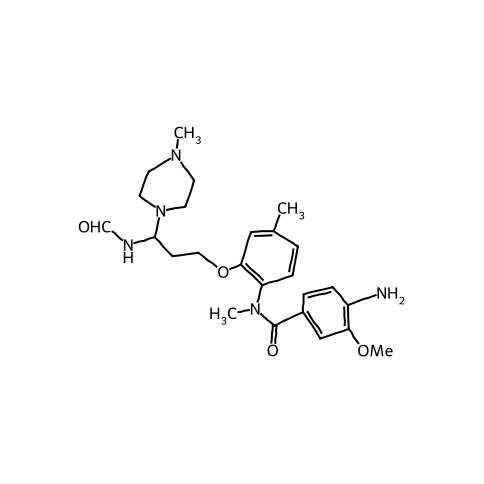 COc1cc(C(=O)N(C)c2ccc(C)cc2OCCC(NC=O)N2CCN(C)CC2)ccc1N